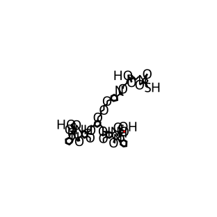 COc1cc2c(cc1OCc1cc(COc3cc4c(cc3OC)C(=O)N3c5ccccc5C[C@H]3C(S(=O)(=O)O)N4)cc(OCCOCCOc3ccc(/C(C)=N/OCCCP(=O)(O)CCCN4C(=O)CC(S)C4=O)cc3)c1)NC(S(=O)(=O)O)[C@@H]1Cc3ccccc3N1C2=O